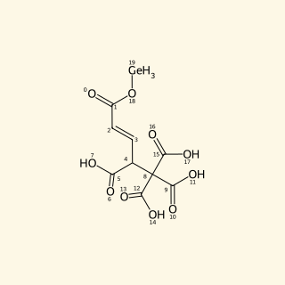 O=C(C=CC(C(=O)O)C(C(=O)O)(C(=O)O)C(=O)O)[O][GeH3]